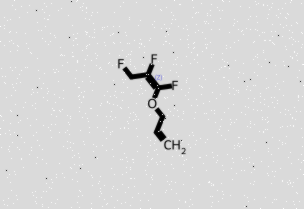 C=CCO/C(F)=C(/F)CF